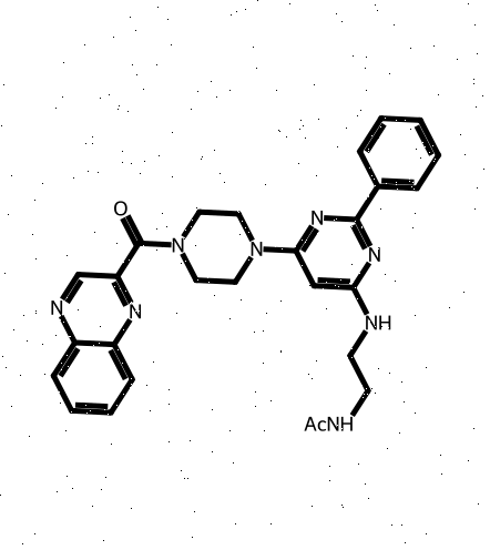 CC(=O)NCCNc1cc(N2CCN(C(=O)c3cnc4ccccc4n3)CC2)nc(-c2ccccc2)n1